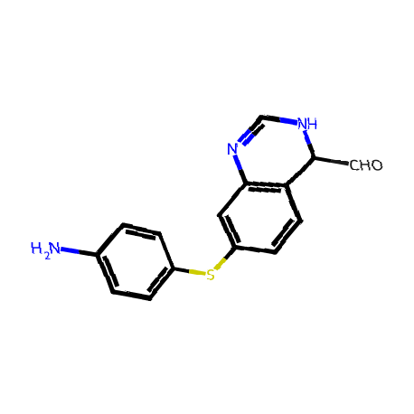 Nc1ccc(Sc2ccc3c(c2)N=CNC3C=O)cc1